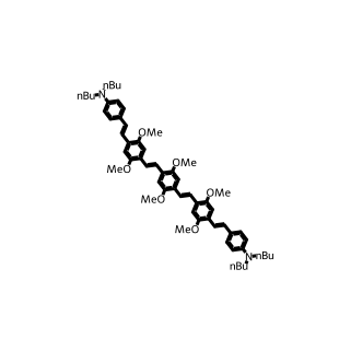 CCCCN(CCCC)c1ccc(/C=C/c2cc(OC)c(/C=C/c3cc(OC)c(/C=C/c4cc(OC)c(/C=C/c5ccc(N(CCCC)CCCC)cc5)cc4OC)cc3OC)cc2OC)cc1